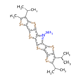 Cc1sc2c(sc3c2sc2c4sc5c6sc(C(C)C)c(C(C)C)c6sc5c4n(N)c32)c1C(C)C